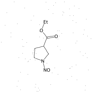 CCOC(=O)C1CCN(N=O)C1